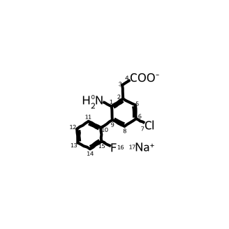 Nc1c(CC(=O)[O-])cc(Cl)cc1-c1ccccc1F.[Na+]